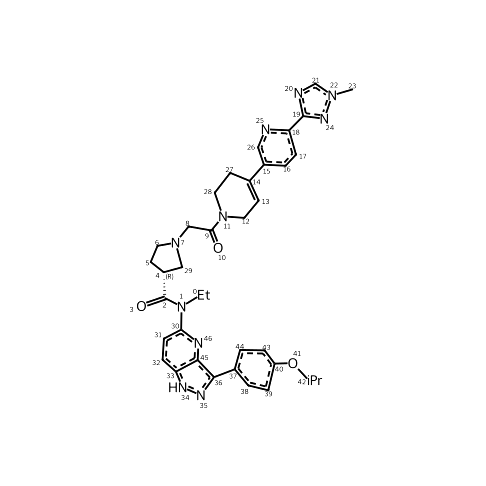 CCN(C(=O)[C@@H]1CCN(CC(=O)N2CC=C(c3ccc(-c4ncn(C)n4)nc3)CC2)C1)c1ccc2[nH]nc(-c3ccc(OC(C)C)cc3)c2n1